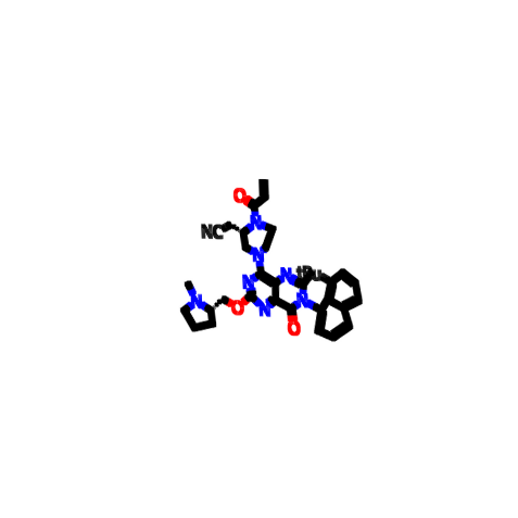 C=CC(=O)N1CCN(c2nc(OC[C@@H]3CCCN3C)nc3c(=O)n(-c4cccc5cccc(C(C)(C)C)c45)c(C)nc23)C[C@@H]1CC#N